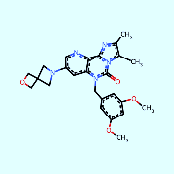 COc1cc(Cn2c(=O)n3c(C)c(C)nc3c3ncc(N4CC5(COC5)C4)cc32)cc(OC)c1